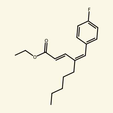 CCCCCC(C=CC(=O)OCC)=Cc1ccc(F)cc1